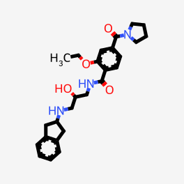 CCOc1cc(C(=O)N2CCCC2)ccc1C(=O)NCC(O)CNC1Cc2ccccc2C1